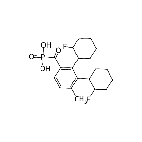 Cc1ccc(C(=O)P(=O)(O)O)c(C2CCCCC2F)c1C1CCCCC1F